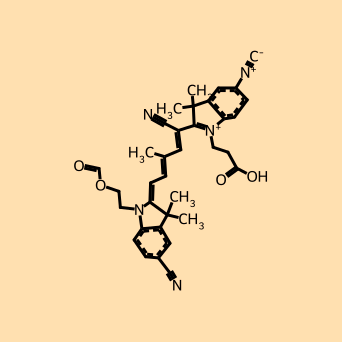 [C-]#[N+]c1ccc2c(c1)C(C)(C)C(/C(C#N)=C/C(C)=C/C=C1/N(CCOC=O)c3ccc(C#N)cc3C1(C)C)=[N+]2CCC(=O)O